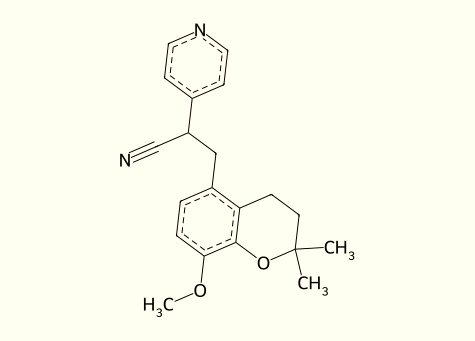 COc1ccc(CC(C#N)c2ccncc2)c2c1OC(C)(C)CC2